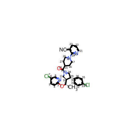 C[C@H](Oc1ccc(Cl)cn1)[C@H]1CN(C(=O)C2CCN(c3ncccc3C#N)CC2)C[C@@H]1c1ccc(Cl)cc1